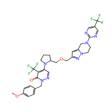 COc1ccc(Cn2ncc(N3CCCC3COCc3cc4n(n3)CCN(c3ncc(C(F)(F)F)cn3)C4)c(C(F)(F)F)c2=O)cc1